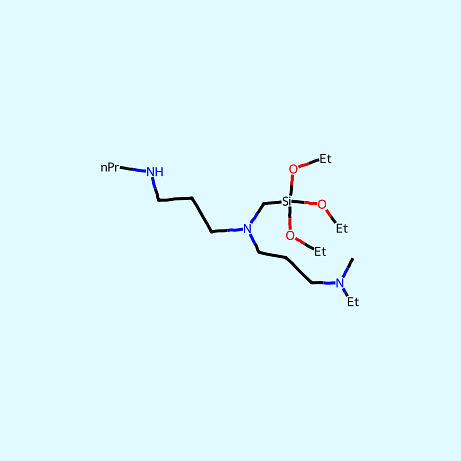 CCCNCCCN(CCCN(C)CC)C[Si](OCC)(OCC)OCC